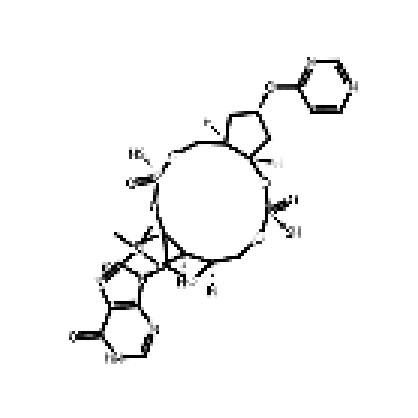 CC(C)(C)[Si](C)(C)O[C@H]1[C@H]2O[P@](=O)(S)OC[C@H]3C[C@@H](Oc4ccncn4)C[C@@H]3O[P@@](=O)(S)OC[C@H]1O[C@H]2n1cnc2c(=O)[nH]cnc21